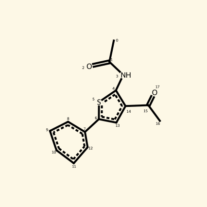 CC(=O)Nc1sc(-c2ccccc2)cc1C(C)=O